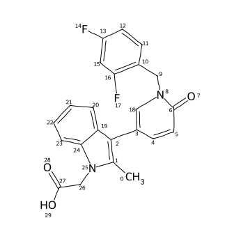 Cc1c(-c2ccc(=O)n(Cc3ccc(F)cc3F)c2)c2ccccc2n1CC(=O)O